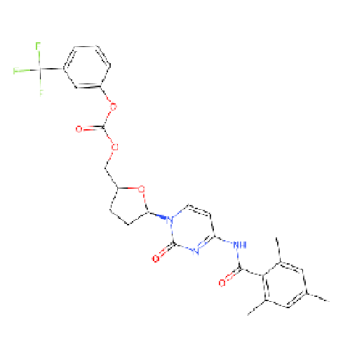 Cc1cc(C)c(C(=O)Nc2ccn([C@H]3CCC(COC(=O)Oc4cccc(C(F)(F)F)c4)O3)c(=O)n2)c(C)c1